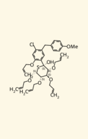 C=CCOC[C@@H]1S[C@@](O)(c2cc(Cc3ccc(OC)cc3)c(Cl)cc2OCC=C)[C@H](OCC=C)[C@@H](OCC=C)[C@@H]1OCC=C